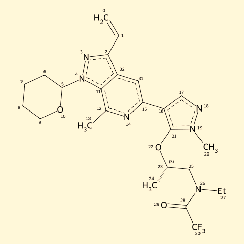 C=Cc1nn(C2CCCCO2)c2c(C)nc(-c3cnn(C)c3O[C@@H](C)CN(CC)C(=O)C(F)(F)F)cc12